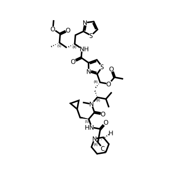 COC(=O)[C@@H](C)C[C@H](Cc1nccs1)NC(=O)c1csc([C@@H](C[C@H](C(C)C)N(C)C(=O)[C@H](CC2CC2)NC(=O)[C@H]2CC3CCN2CC3)OC(C)=O)n1